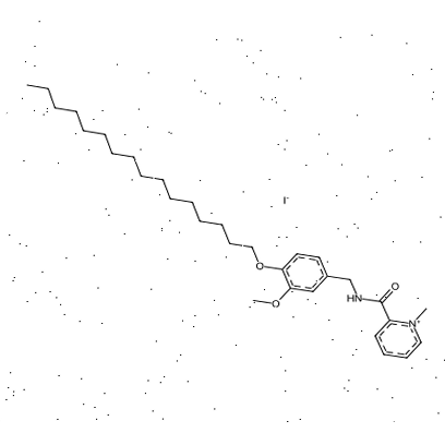 CCCCCCCCCCCCCCCCOc1ccc(CNC(=O)c2cccc[n+]2C)cc1OC.[I-]